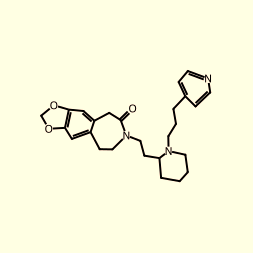 O=C1Cc2cc3c(cc2CCN1CCC1CCCCN1CCCc1ccncc1)OCO3